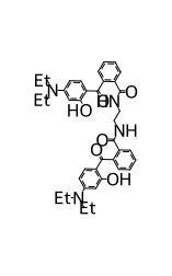 CCN(CC)c1ccc(C(=O)c2ccccc2C(=O)NCCNC(=O)c2ccccc2C(=O)c2ccc(N(CC)CC)cc2O)c(O)c1